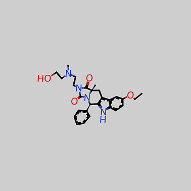 CCOc1ccc2[nH]c3c(c2c1)C[C@@]1(C)C(=O)N(CCN(C)CCO)C(=O)N1[C@@H]3c1ccccc1